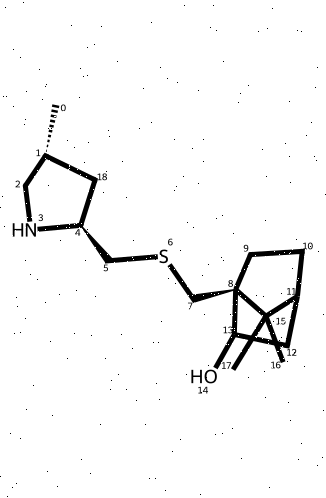 C[C@H]1CN[C@H](CSC[C@]23CCC(CC2O)C3(C)C)C1